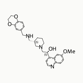 COc1ccc2nccc([C@H](O)CN3CCC[C@@H](CNCc4ccc5c(c4)OCCO5)C3)c2c1